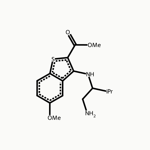 COC(=O)c1sc2ccc(OC)cc2c1NC(CN)C(C)C